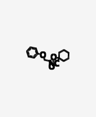 N#CC1(OC(=O)COc2ccccc2)CCCCC1